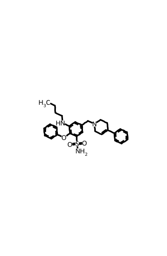 CCCCNc1cc(CN2CC=C(c3ccccc3)CC2)cc(S(N)(=O)=O)c1Oc1ccccc1